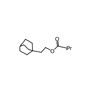 CC(C)C(=O)OCCC12CCC(CC1)CC2